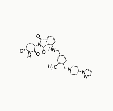 Cc1cc(CNc2cccc3c2C(=O)N(C2CCC(=O)NC2=O)C3=O)ccc1CN1CCC(n2cccn2)CC1